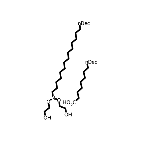 CCCCCCCCCCCCCCCCCC(=O)O.CCCCCCCCCCCCCCCCCCCCCCCCN(OCCO)OCCO